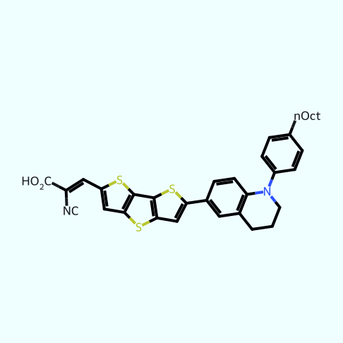 [C-]#[N+]/C(=C\c1cc2sc3cc(-c4ccc5c(c4)CCCN5c4ccc(CCCCCCCC)cc4)sc3c2s1)C(=O)O